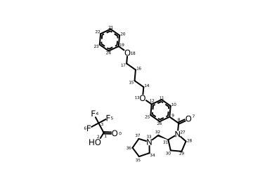 O=C(O)C(F)(F)F.O=C(c1ccc(OCCCCOc2ccccc2)cc1)N1CCC[C@H]1CN1CCCC1